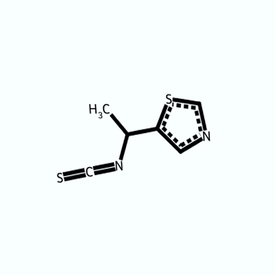 CC(N=C=S)c1cncs1